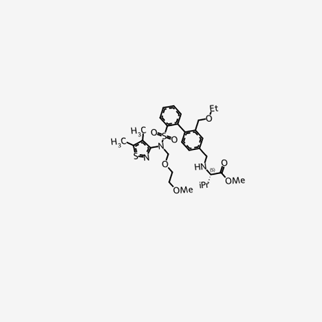 CCOCc1cc(CN[C@H](C(=O)OC)C(C)C)ccc1-c1ccccc1S(=O)(=O)N(COCCOC)c1nsc(C)c1C